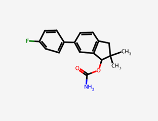 CC1(C)Cc2ccc(-c3ccc(F)cc3)cc2C1OC(N)=O